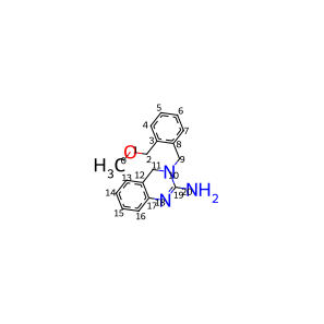 COCc1ccccc1CN1Cc2ccccc2N=C1N